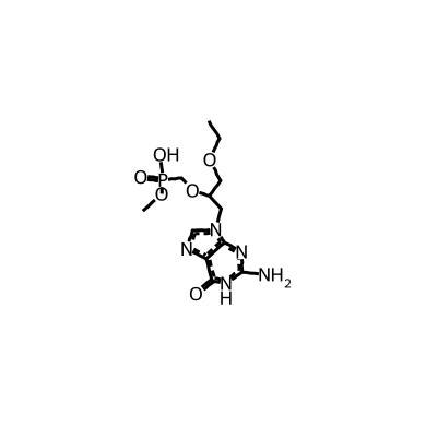 CCOCC(Cn1cnc2c(=O)[nH]c(N)nc21)OCP(=O)(O)OC